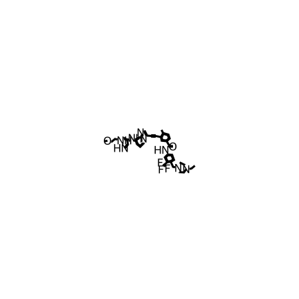 CCN1CCN(Cc2ccc(NC(=O)c3ccc(C)c(C#Cc4cnc5c(N/C(C=N)=C/NCCOC)cccn45)c3)cc2C(F)(F)F)CC1